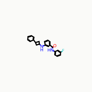 O=C(Nc1cccc(F)c1)c1cccc(NC2CC(c3ccccc3)C2)c1